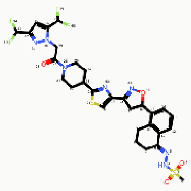 CS(=O)(=O)NN=C1CCCc2c1cccc2C1CC(c2csc(C3CCN(C(=O)Cn4nc(C(F)F)cc4C(F)F)CC3)n2)=NO1